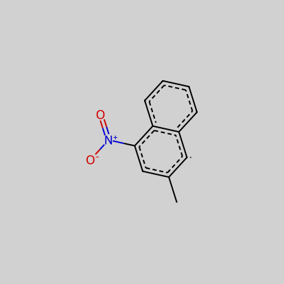 Cc1[c]c2ccccc2c([N+](=O)[O-])c1